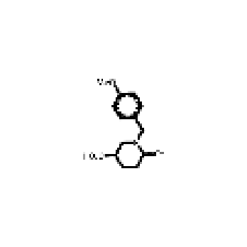 CCC1CCC(C(=O)O)CN1Cc1ccc(OC)cc1